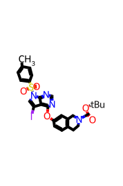 Cc1ccc(S(=O)(=O)n2cc(I)c3c(Oc4ccc5c(c4)CN(C(=O)OC(C)(C)C)CC5)ncnc32)cc1